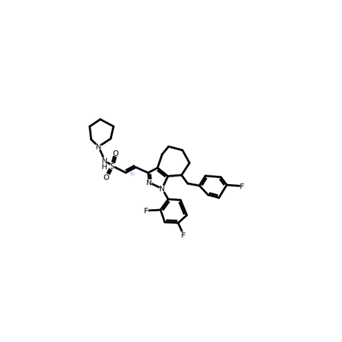 O=S(=O)(/C=C/c1nn(-c2ccc(F)cc2F)c2c1CCCCC2Cc1ccc(F)cc1)NN1CCCCC1